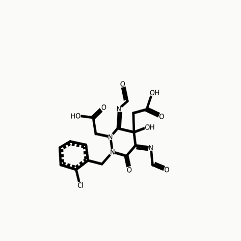 O=CN=C1C(=O)N(Cc2ccccc2Cl)N(CC(=O)O)C(=NC=O)C1(O)CC(=O)O